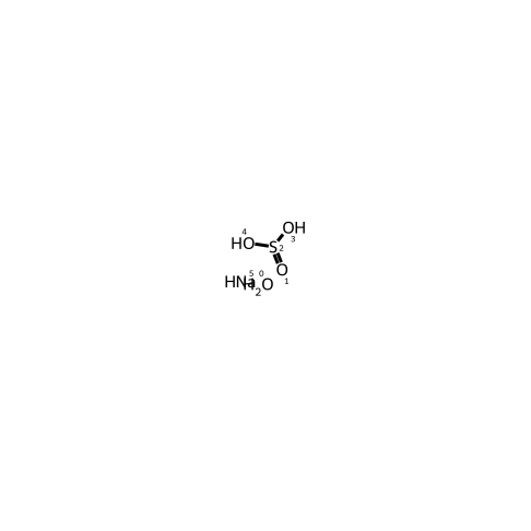 O.O=S(O)O.[NaH]